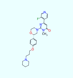 Cn1c(N2CCO[C@@H](c3ccc(OCCCN4CCCCC4)cc3)C2)nc(-c2ccncc2F)cc1=O